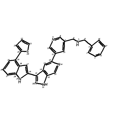 c1ccc(CNCc2cncc(-c3cc4c(-c5cc6c(-c7cccs7)cccc6[nH]5)n[nH]c4cn3)c2)cc1